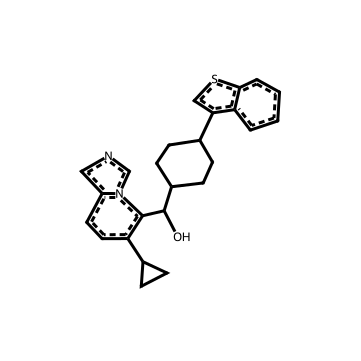 OC(c1c(C2CC2)ccc2cncn12)C1CCC(c2csc3ccccc23)CC1